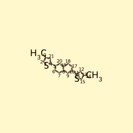 Cc1csc(-c2ccc3cc(-c4cc(C)cs4)ccc3c2)c1